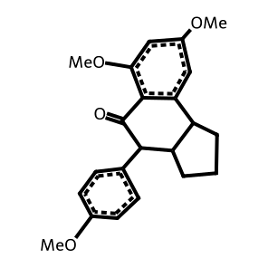 COc1ccc(C2C(=O)c3c(OC)cc(OC)cc3C3CCCC32)cc1